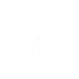 CCOC1C=Cc2ccccc2N1.Cl